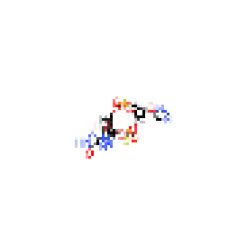 O=c1[nH]cnc2c1nnn2[C@@H]1C[C@@H]2CO[P@@](=O)(S)O[C@H]3C[C@H](Oc4ccncn4)C[C@@H]3CO[P@@](=O)(S)O[C@@H]1[C@@H]2O